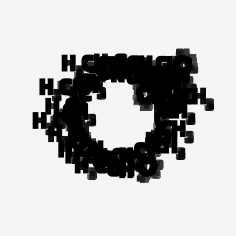 CC[C@H](C)[C@@H]1NC(=O)C[C@H](CC(C)C)N(C)C(=O)[C@H](CC(C)C)N(C)C(=O)[C@H](C)N(C)C(=O)[C@H]([C@@H](C)O)CNC(=O)CC(Cc2ccccc2)N(C)C(=O)[C@@H](C)CN(C)C(=O)C[C@@H](C(=O)N(C)[C@@H](Cc2ccccc2)C(=O)N(C)[C@@H](Cc2ccccc2)C(=O)N[C@@H](C)C(=O)N2CCCCC2)NC(=O)C[C@H](C(C)C)N(C)C1=O